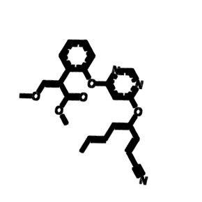 CC=CC=C(C=CC#N)Oc1cc(Oc2ccccc2C(=COC)C(=O)OC)ncn1